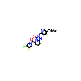 COc1ccc(Cn2nc3n(c2=O)C(C(=O)N2CC(F)C(F)C2)CCC3)nc1